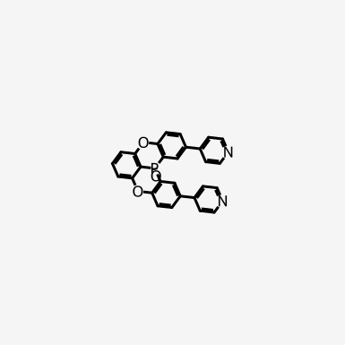 O=P12c3cc(-c4ccncc4)ccc3Oc3cccc(c31)Oc1ccc(-c3ccncc3)cc12